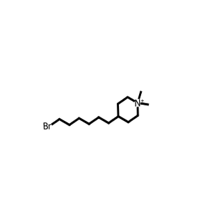 C[N+]1(C)CCC(CCCCCCBr)CC1